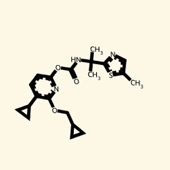 Cc1cnc(C(C)(C)NC(=O)Oc2ccc(C3CC3)c(OCC3CC3)n2)s1